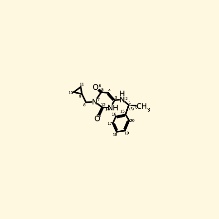 C[C@H](Nc1cc(=O)n(CC2CC2)c(=O)[nH]1)c1ccccc1